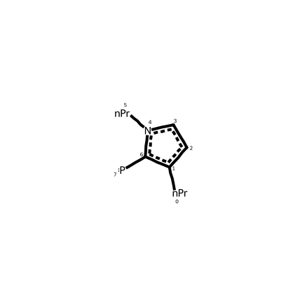 CCCc1ccn(CCC)c1[P]